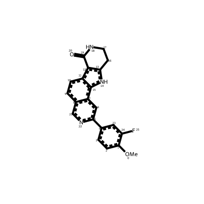 COc1ccc(-c2cc3c(ccc4c5c([nH]c43)CCNC5=O)cn2)cc1F